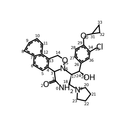 NC(=O)C1c2ccc3ccccc3c2CON1[C@H](CN1CCCC1)[C@H](O)c1ccc(OC2CC2)c(Cl)c1